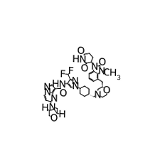 Cn1c(=O)n(C2CCC(=O)NC2=O)c2cccc(C[C@@H]3CN(C[C@H]4CC[C@H](n5cc(NC(=O)c6cnn7ccc(N8C[C@H]9C[C@@H]8CO9)nc67)c(C(F)F)n5)CC4)CCO3)c21